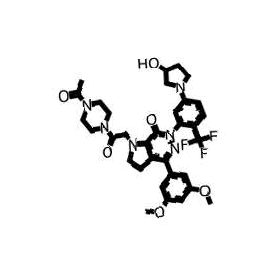 COc1cc(OC)cc(-c2nn(-c3cc(N4CCC(O)C4)ccc3C(F)(F)F)c(=O)c3c2CCN3CC(=O)N2CCN(C(C)=O)CC2)c1